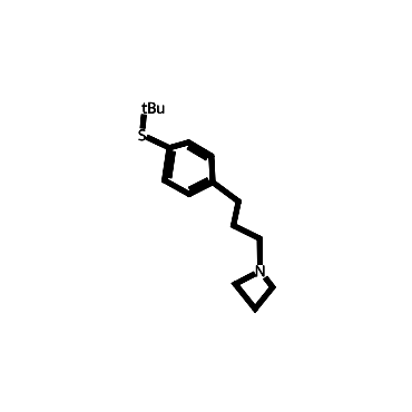 CC(C)(C)Sc1ccc(CCCN2CCC2)cc1